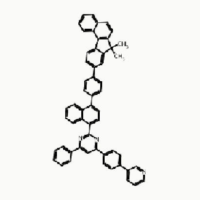 CC1(C)c2cc(-c3ccc(-c4ccc(-c5nc(-c6ccccc6)cc(-c6ccc(-c7cccnc7)cc6)n5)c5ccccc45)cc3)ccc2-c2c1ccc1ccccc21